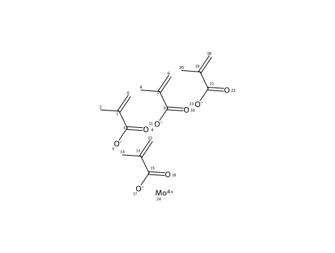 C=C(C)C(=O)[O-].C=C(C)C(=O)[O-].C=C(C)C(=O)[O-].C=C(C)C(=O)[O-].[Mo+4]